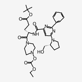 CCOC(=O)ON1CCN(C(=O)[C@H](CCC(=O)OC(C)(C)C)NC(=O)c2cc(N3CCC[C@@H]3CO)nc(-c3ccccc3)n2)CC1